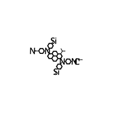 [C-]#[N+]c1ccc(N(c2ccc([Si](C)(C)C)cc2)c2cc(C(C)C)c3ccc4c(N(c5ccc(C#N)cc5)c5ccc([Si](C)(C)C)cc5)ccc5ccc2c3c54)cc1